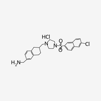 Cl.NCc1ccc2c(c1)CCC(CN1CCN(S(=O)(=O)c3ccc4cc(Cl)ccc4c3)CC1)C2